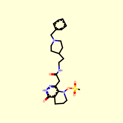 CS(=O)(=O)ON1CCCc2c1c(CC(=O)NCCC1CCN(Cc3ccccc3)CC1)n[nH]c2=O